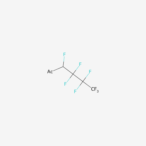 CC(=O)C(F)C(F)(F)C(F)(F)C(F)(F)F